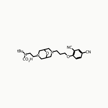 CC(C)(C)N(CCN1CC2CN(CCCOc3ccc(C#N)cc3C#N)CC(C1)O2)C(=O)O